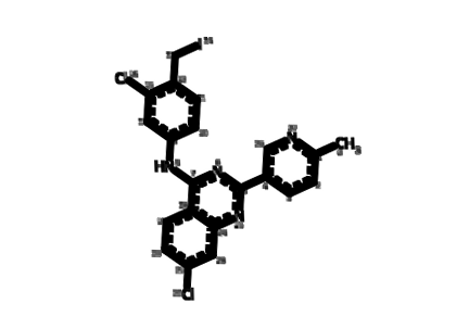 Cc1ccc(-c2nc(Nc3ccc(CI)c(Cl)c3)c3ccc(Cl)cc3n2)cn1